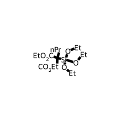 CCCC(C(=O)OCC)(C(=O)OCC)[Si](OCC)(OCC)OCC